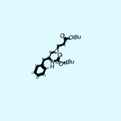 CC(C)COC(=O)CCOC[C@H](Cc1ccccc1)NC(=O)OC(C)(C)C